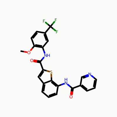 COc1ccc(C(F)(F)F)cc1NC(=O)c1cc2cccc(NC(=O)c3cccnc3)c2s1